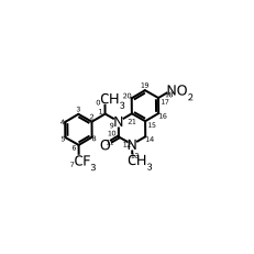 CC(c1cccc(C(F)(F)F)c1)N1C(=O)N(C)Cc2cc([N+](=O)[O-])ccc21